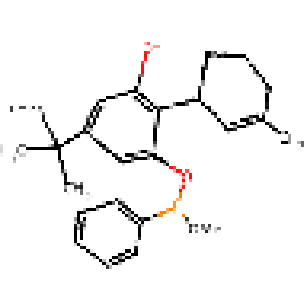 CCCCCCC(C)(C)c1cc(O)c(C2C=C(C)CCC2)c(OP(OC)c2ccccc2)c1